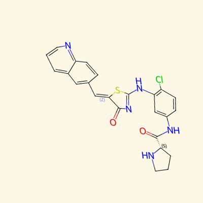 O=C1N=C(Nc2cc(NC(=O)[C@@H]3CCCN3)ccc2Cl)S/C1=C\c1ccc2ncccc2c1